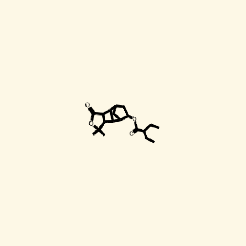 CCC(CC)C(=O)OC1CC2CC1C1C2C2C(=O)OC(C)(C)C21